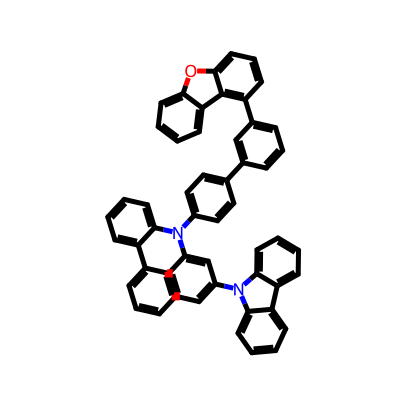 c1ccc(-c2ccccc2N(c2ccc(-c3cccc(-c4cccc5oc6ccccc6c45)c3)cc2)c2cccc(-n3c4ccccc4c4ccccc43)c2)cc1